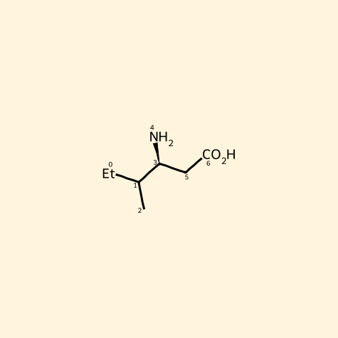 CCC(C)[C@@H](N)CC(=O)O